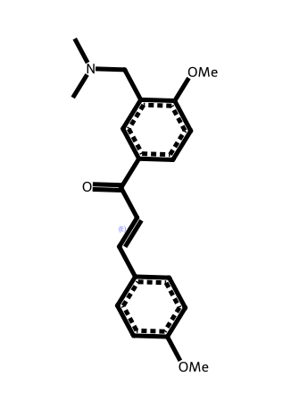 COc1ccc(/C=C/C(=O)c2ccc(OC)c(CN(C)C)c2)cc1